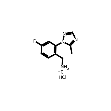 Cc1ncnn1-c1cc(F)ccc1CN.Cl.Cl